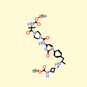 CC(Cc1ccc(-n2ccc(NC(=O)N3CCN(C(=O)C(C)(C)NC(=O)OC(C)(C)C)CC3)nc2=O)cc1)NC[C@H]1C[C@H](NC(=O)OC(C)(C)C)C1